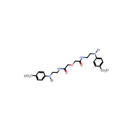 CCOC(=O)c1ccc(N(CC)CCNC(=O)COCC(=O)NCCN(CC)c2ccc(C(=O)OCC)cc2)cc1